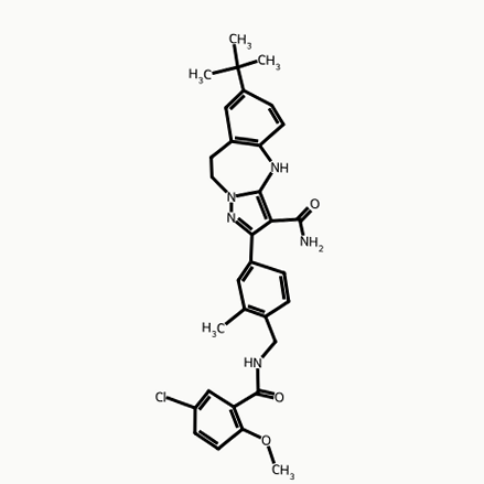 COc1ccc(Cl)cc1C(=O)NCc1ccc(-c2nn3c(c2C(N)=O)Nc2ccc(C(C)(C)C)cc2CC3)cc1C